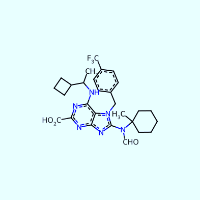 CC(Nc1nc(C(=O)O)nc2nc(N(C=O)C3(C)CCCCC3)n(Cc3ccc(C(F)(F)F)cc3)c12)C1CCC1